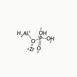 O=P(O)(O)[O][AlH2].[Zr]